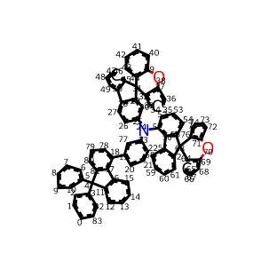 c1ccc(C2(c3ccccc3)c3ccccc3-c3c(-c4cccc(N(c5ccc6c(c5)C5(c7ccccc7Oc7ccccc75)c5ccccc5-6)c5cccc6c5-c5ccccc5C65c6ccccc6Oc6ccccc65)c4)cccc32)cc1